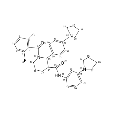 Cc1cccc(F)c1C(=O)N1CCCC(C(=O)Nc2cccc(N3CCCC3)c2)C1c1ccc(N2CCCC2)cc1